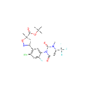 Cn1c(C(F)(F)F)cc(=O)n(-c2cc(C3=NOC(C)(C(=O)OC(C)(C)C)C3)c(Cl)cc2F)c1=O